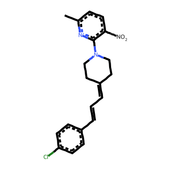 Cc1ccc([N+](=O)[O-])c(N2CCC(=CC=Cc3ccc(Cl)cc3)CC2)n1